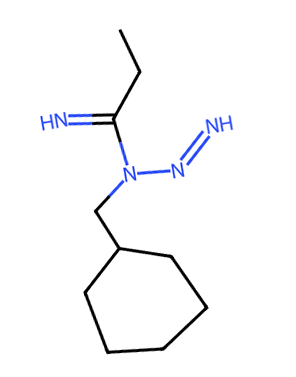 CCC(=N)N(CC1CCCCC1)N=N